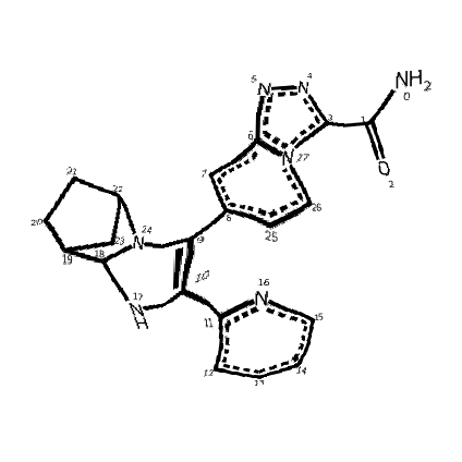 NC(=O)c1nnc2cc(C3=C(c4ccccn4)NC4C5CCC(C5)N34)ccn12